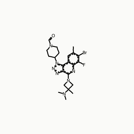 Cc1cc2c(nc(N3CC(C)(N(C)C)C3)c3nnn(C4CCN(C=O)CC4)c32)c(F)c1Br